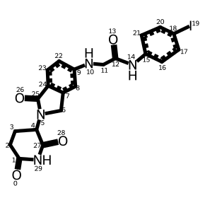 O=C1CCC(N2Cc3cc(NCC(=O)Nc4ccc(I)cc4)ccc3C2=O)C(=O)N1